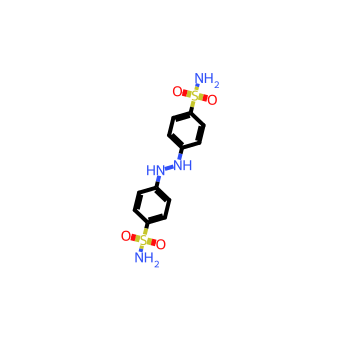 NS(=O)(=O)c1ccc(NNc2ccc(S(N)(=O)=O)cc2)cc1